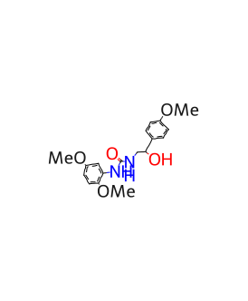 COc1ccc(C(O)CNC(=O)Nc2cc(OC)ccc2OC)cc1